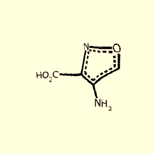 Nc1conc1C(=O)O